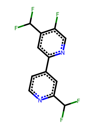 Fc1cnc(-c2ccnc(C(F)F)c2)cc1C(F)F